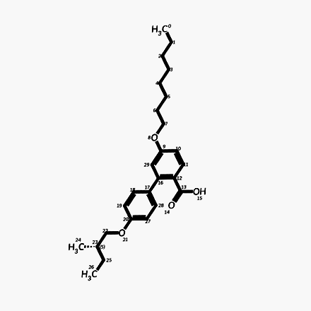 CCCCCCCCOc1ccc(C(=O)O)c(-c2ccc(OC[C@@H](C)CC)cc2)c1